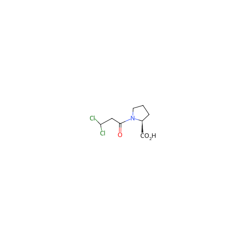 O=C(O)[C@@H]1CCCN1C(=O)CC(Cl)Cl